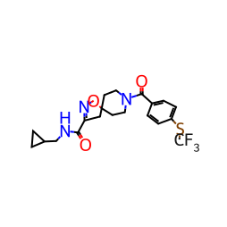 O=C(NCC1CC1)C1=NOC2(CCN(C(=O)c3ccc(SC(F)(F)F)cc3)CC2)C1